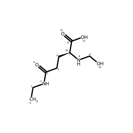 CCNC(=O)CC[C@H](NCO)C(=O)O